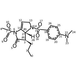 CCC[C@H]1C(=O)N(S(C)(=O)=O)C2=CCN(S(=O)(=O)c3ccc(N(C)C)cc3)[C@@H]21